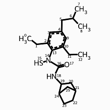 CCc1cc(CC(C)C)cc(CC)c1N(S)C(=O)NC1CC2CCC1C2